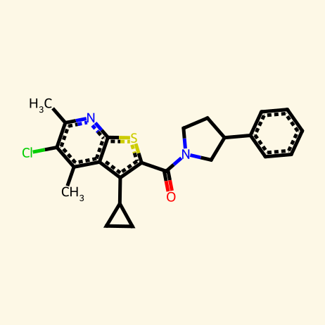 Cc1nc2sc(C(=O)N3CCC(c4ccccc4)C3)c(C3CC3)c2c(C)c1Cl